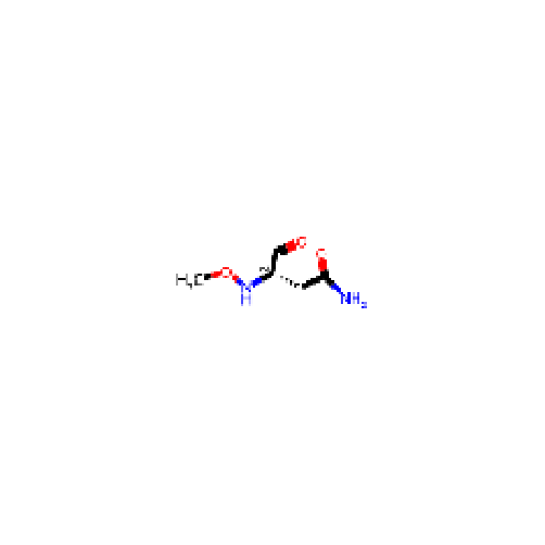 CON[C@H](C=O)CC(N)=O